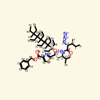 CC[C@H](C)[C@H](N=[N+]=[N-])C(=O)N[C@H](C[C@@H](O[Si](CC)(CC)C(C)(CC)C(C)(CC)C(C)(CC)C(C)(CC)C(C)(CC)CC)c1nc(C(=O)OCc2ccccc2)cs1)C(C)C